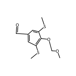 COCOc1c(SC)cc(C=O)cc1SC